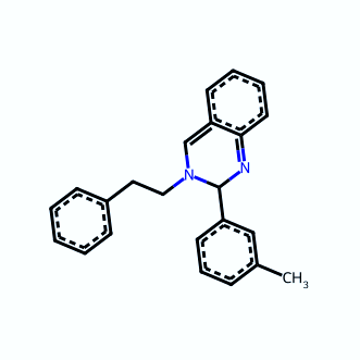 Cc1cccc(C2N=c3ccccc3=CN2CCc2ccccc2)c1